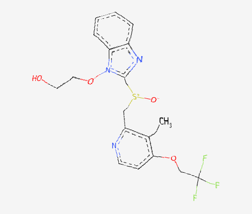 Cc1c(OCC(F)(F)F)ccnc1C[S+]([O-])c1nc2ccccc2n1OCCO